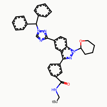 CC(C)(C)CNC(=O)c1cccc(-c2nn(C3CCCCO3)c3ccc(-c4ncn(C(c5ccccc5)c5ccccc5)n4)cc23)c1